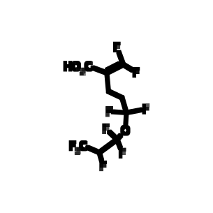 O=C(O)C(CCC(F)(F)OC(F)(F)C(F)C(F)(F)F)=C(F)F